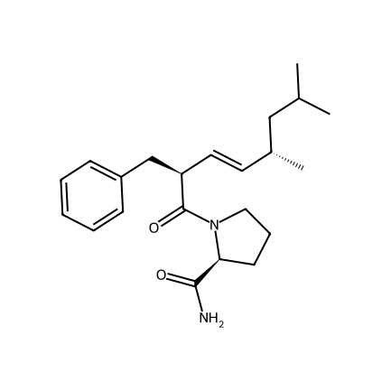 CC(C)C[C@H](C)/C=C/[C@H](Cc1ccccc1)C(=O)N1CCC[C@H]1C(N)=O